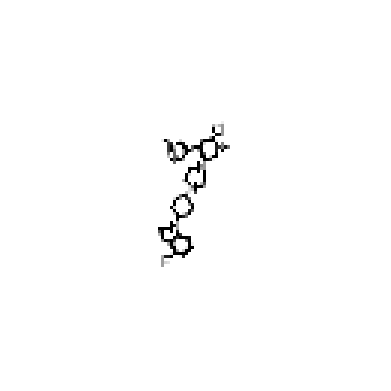 CN1CC(N2CCN(C3CCC(n4ccc5c(F)cccc54)CC3)CC2)=C(c2cnn(C)c2)C=C1Cl